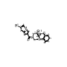 O=C(c1cn2ncc(Br)cc2n1)N1CC[C@]2(Cc3ccccc3CN2)[C@H](O)C1